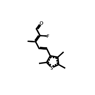 CC(C=Cc1c(C)sc(C)c1C)=C(F)C=O